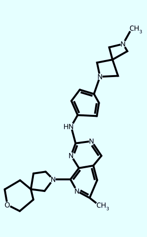 Cc1cc2cnc(Nc3ccc(N4CC5(CN(C)C5)C4)cc3)nc2c(N2CCC3(CCOCC3)C2)n1